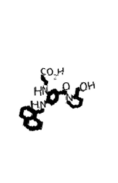 O=C(O)CCNc1cc(C(=O)N2CCCCC2CO)ccc1NCC1=CC=CC2=CC=CCC21